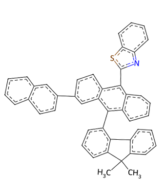 CC1(C)c2ccccc2-c2c(-c3c4ccccc4c(-c4nc5ccccc5s4)c4ccc(-c5ccc6ccccc6c5)cc34)cccc21